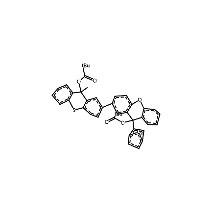 CC(C)(C)C(=O)OC1(C)c2ccccc2Sc2ccc(-c3ccc4c(c3)C(OC(=O)C(C)(C)C)(c3cc5ccc3o5)c3ccccc3O4)cc21